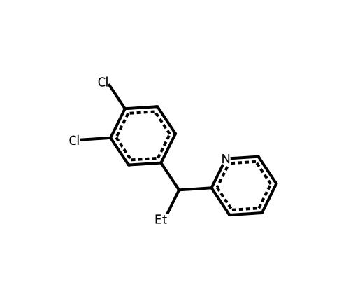 [CH2]CC(c1ccc(Cl)c(Cl)c1)c1ccccn1